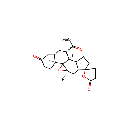 COC(=O)[C@@H]1CC2=CC(=O)CC[C@]2(C)[C@@]23O[C@@H]2C[C@@]2(C)C(CCC24CCC(=O)O4)[C@H]13